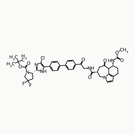 COC(=O)N[C@H]1CCc2ccn3c2C1C(=O)C[C@H](C(=O)NCC(=O)c1ccc(-c2ccc(-c4[nH]c([C@@H]5CC(F)(F)CN5C(=O)OC(C)(C)C)nc4Cl)cc2)cc1)C3